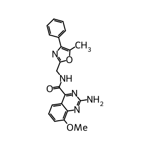 COc1cccc2c(C(=O)NCc3nc(-c4ccccc4)c(C)o3)nc(N)nc12